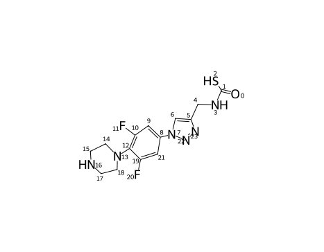 O=C(S)NCc1cn(-c2cc(F)c(N3CCNCC3)c(F)c2)nn1